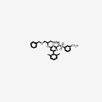 CNCC(COCc1ccccc1)Oc1cc(-c2c(C)cccc2C)nc(NS(=O)(=O)c2cccc(C(=O)O)c2)n1